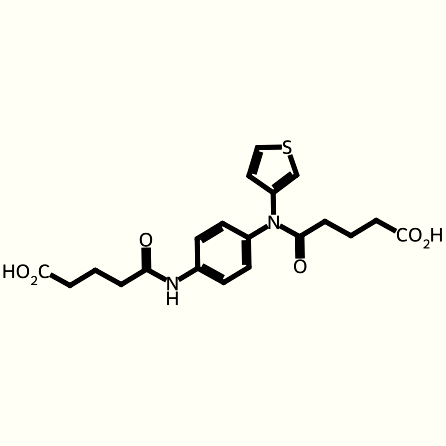 O=C(O)CCCC(=O)Nc1ccc(N(C(=O)CCCC(=O)O)c2ccsc2)cc1